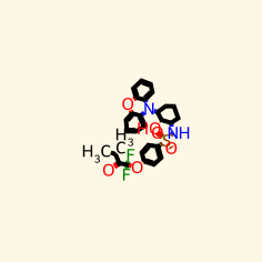 CC(C)C(=O)C(F)(F)Oc1ccc(S(=O)(=O)NC2CCCC(N3c4ccccc4Oc4ccccc43)[C@H]2O)cc1